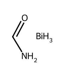 NC=O.[BiH3]